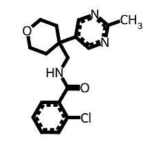 Cc1ncc(C2(CNC(=O)c3ccccc3Cl)CCOCC2)cn1